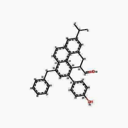 CC(C)c1cc2c3c(ccc4c(Cc5ccccc5)cc(-c5ccc(O)cc5)c(c43)C(C=O)C2)c1